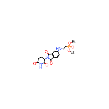 CCOP(=O)(CCNc1ccc2c(c1)C(=O)N(C1CCC(=O)NC1=O)C2=O)OCC